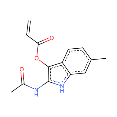 C=CC(=O)Oc1c(NC(C)=O)[nH]c2cc(C)ccc12